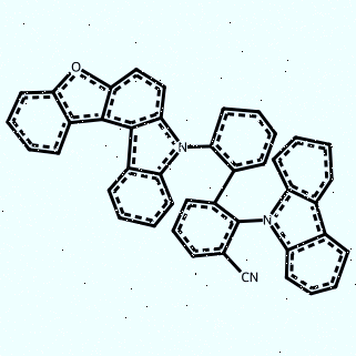 N#Cc1cccc(-c2ccccc2-n2c3ccccc3c3c4c(ccc32)oc2ccccc24)c1-n1c2ccccc2c2ccccc21